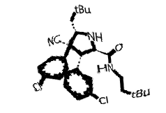 CC(C)(C)CCNC(=O)[C@@H]1N[C@@H](CC(C)(C)C)[C@](C#N)(c2ccc(Cl)cc2)[C@H]1c1cccc(Cl)c1